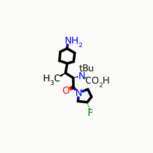 C[C@@H](C1CCC(N)CC1)[C@@H](C(=O)N1CC[C@H](F)C1)N(C(=O)O)C(C)(C)C